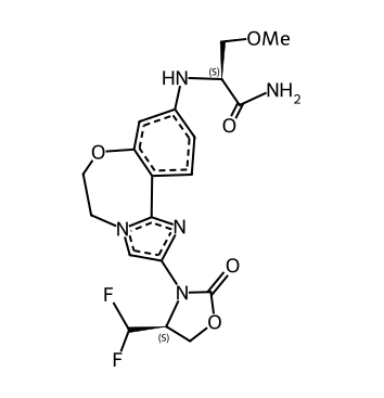 COC[C@H](Nc1ccc2c(c1)OCCn1cc(N3C(=O)OC[C@H]3C(F)F)nc1-2)C(N)=O